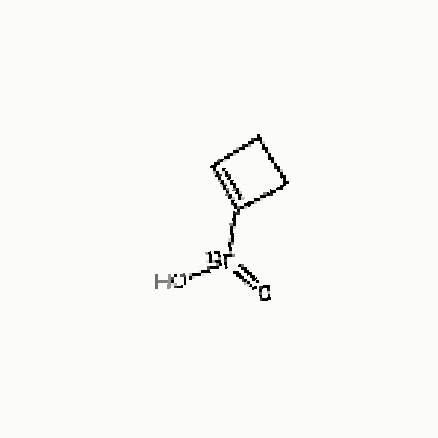 O=[13C](O)C1=CCC1